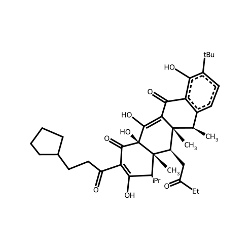 CCC(=O)C[C@@H]1[C@]2(C)C(=C(O)[C@@]3(O)C(=O)C(C(=O)CCC4CCCC4)=C(O)C(C(C)C)[C@@]13C)C(=O)c1c(ccc(C(C)(C)C)c1O)[C@H]2C